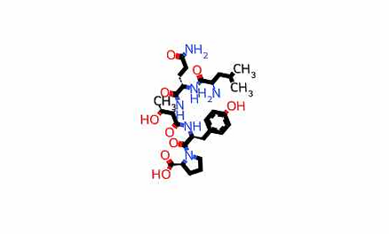 CC(C)C[C@H](N)C(=O)N[C@@H](CCC(N)=O)C(=O)N[C@H](C(=O)N[C@@H](Cc1ccc(O)cc1)C(=O)N1CCC[C@H]1C(=O)O)[C@@H](C)O